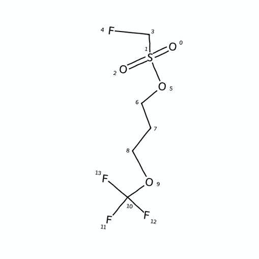 O=S(=O)(CF)OCCCOC(F)(F)F